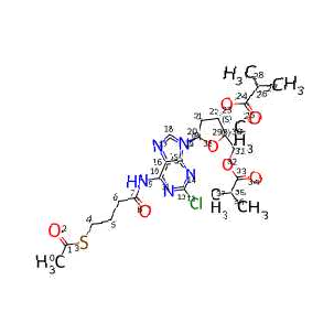 CC(=O)SCCCC(=O)Nc1nc(Cl)nc2c1ncn2[C@H]1C[C@H](OC(=O)C(C)C)[C@@](C)(COC(=O)C(C)C)O1